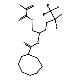 C=C(C)C(=O)OCC(CCC(C)(F)C(F)(F)F)OC(=O)C1CCCCCCC1